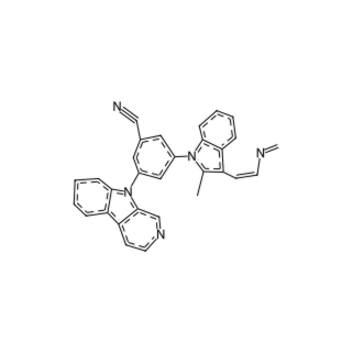 C=N/C=C\c1c(C)n(-c2cc(C#N)cc(-n3c4ccccc4c4ccncc43)c2)c2ccccc12